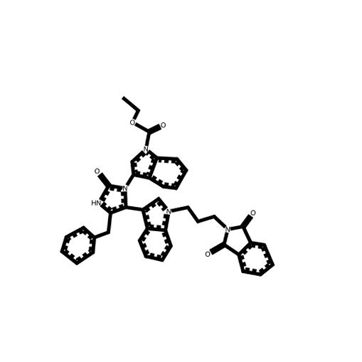 CCOC(=O)n1cc(-n2c(-c3cn(CCCN4C(=O)c5ccccc5C4=O)c4ccccc34)c(Cc3ccccc3)[nH]c2=O)c2ccccc21